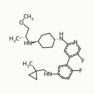 COC[C@@H](C)N[C@H]1CC[C@H](Nc2cc(-c3cc(NCC4(C)CC4)ccc3F)c(F)cn2)CC1